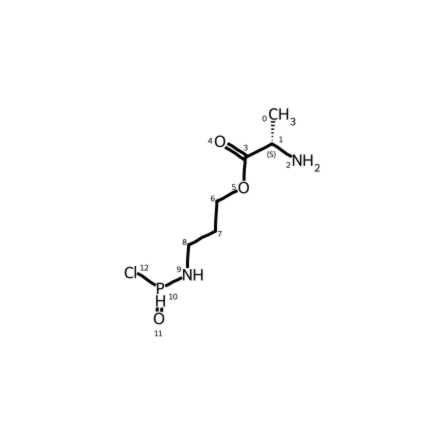 C[C@H](N)C(=O)OCCCN[PH](=O)Cl